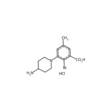 Cc1cc(C(=O)O)c(Br)c(N2CCC(N)CC2)c1.Cl